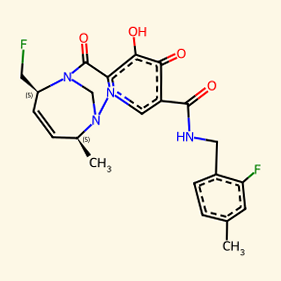 Cc1ccc(CNC(=O)c2cn3c(c(O)c2=O)C(=O)N2CN3[C@@H](C)C=C[C@H]2CF)c(F)c1